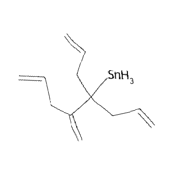 C=CCC(=C)[C]([SnH3])(CC=C)CC=C